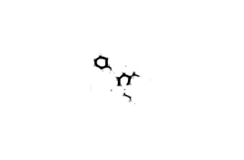 CC(C)(C)C(=O)c1cn(CCO)c(C(=O)O)c(OCc2ccccc2)c1=O